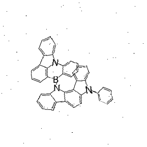 c1ccc(-n2c3ccccc3c3c4c(ccc32)c2ccccc2n4B2c3ccccc3-n3c4ccccc4c4cccc2c43)cc1